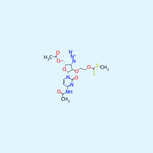 CSC(=S)OCCO[C@@H]1C(N=[N+]=[N-])[C@@H](COC(C)=O)O[C@H]1n1ccc(NC(C)=O)nc1=O